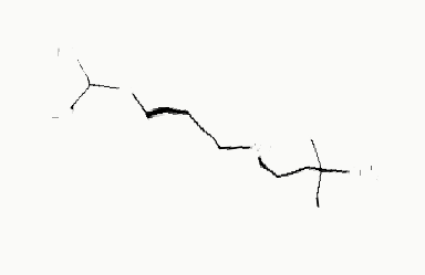 CC(C)OCCCNCC(C)(C)C